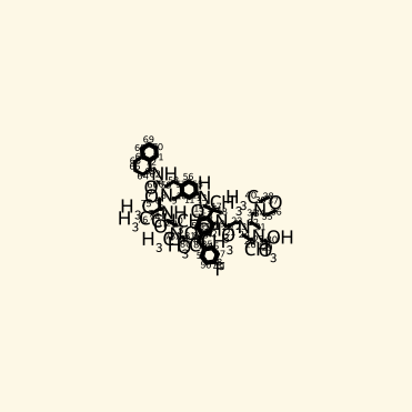 CC(C(=O)NC(C(=O)N1Cc2cc(NC(=O)C3(C)CN(C(=O)CN4C[C@@H](C)N(C(=O)O)C[C@@H]4CN4CCOC[C@H]4C)c4cc(Cc5ccc(F)cc5)ccc43)ccc2C[C@H]1C(=O)N[C@@H]1CCCc2ccccc21)C(C)(C)C)N(C)C(=O)OC(C)(C)C